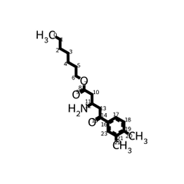 CCCCCCCOC(=O)CC(N)CC(=O)c1ccc(C)c(C)c1